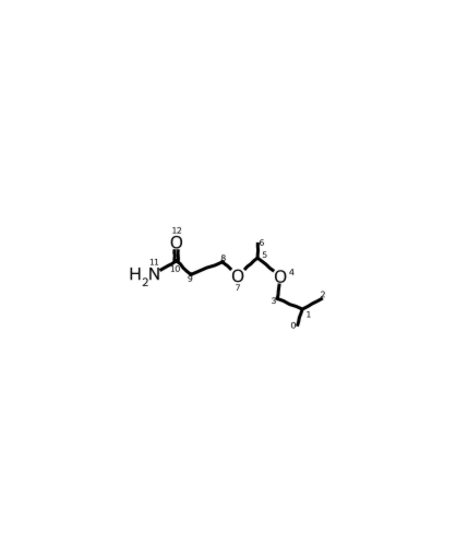 CC(C)COC(C)OCCC(N)=O